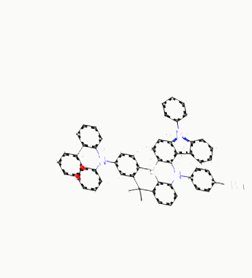 CC(C)(C)c1ccc(N2c3cccc4c3B(c3ccc(N(c5ccccc5)c5ccccc5-c5ccccc5)cc3C4(C)C)c3ccc4c(c32)c2ccccc2n4-c2ccccc2)cc1